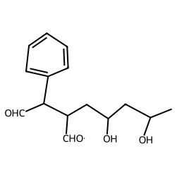 CC(O)CC(O)CC([C]=O)C(C=O)c1ccccc1